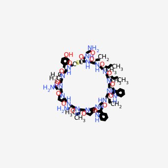 C=CC[C@@H]1NC(=O)[C@H](Cc2c[nH]c3ccccc23)NC(=O)[C@@H]2CCCN2C(=O)[C@H](CC(C)C)NC(=O)[C@H](CN)NC(=O)C2CCCN2C(=O)[C@H](CC(N)=O)NC(=O)[C@H](C)N(C)C(=O)[C@H](Cc2ccc(O)cc2)NC(=O)CSC[C@@H](C(=O)NCC(N)=O)NC(=O)[C@H](CC=C)NC(=O)[C@H](CCCC)N(C)C(=O)[C@H](CCCC)N(C)C(=O)[C@H](Cc2c[nH]c3ccccc23)NC1=O